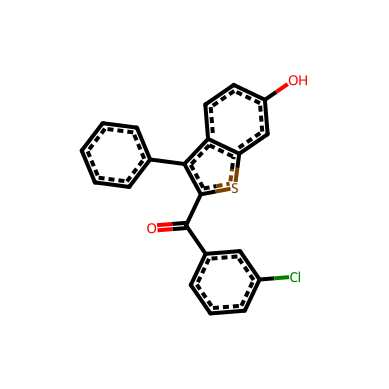 O=C(c1cccc(Cl)c1)c1sc2cc(O)ccc2c1-c1ccccc1